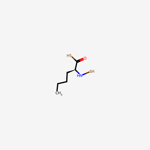 CCCC[C@H](NS)C(=O)S